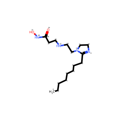 CCCCCCCCC1=NCCN1CCNCCC(=O)NO